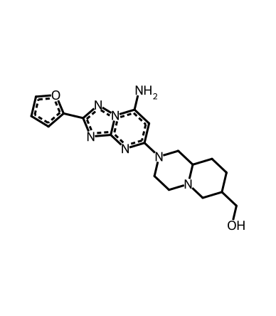 Nc1cc(N2CCN3CC(CO)CCC3C2)nc2nc(-c3ccco3)nn12